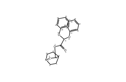 O=C(OC1CN2CCC1CC2)C(Oc1ccccc1)Oc1ccccc1